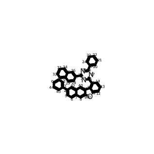 c1ccc(-c2ccc3cc4oc5cccc(-c6nc(-c7ccccc7)nc(-c7ccc8ccccc8c7)n6)c5c4cc3c2)cc1